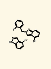 Brc1cccc2[nH]ncc12.Fc1ccccc1Cn1cc2c(Br)cccc2n1